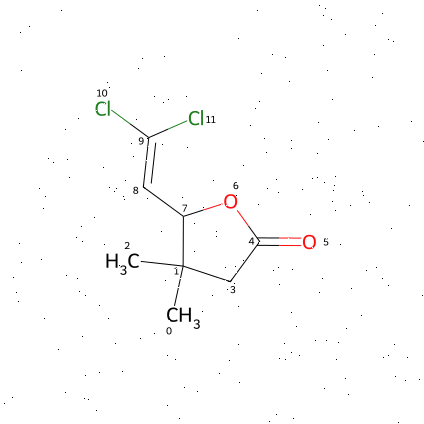 CC1(C)CC(=O)OC1C=C(Cl)Cl